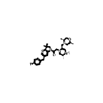 C[C@@H]1CN(CC(=O)N2CC(C)(C)c3ncc(Cc4ccc(F)cc4)cc32)[C@@H](CN2C[C@H](C)OC[C@@H]2C)CN1